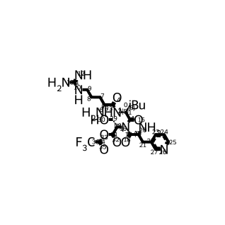 CC[C@H](C)[C@H](NC(=O)[C@H](N)CCCNC(=N)N)C(=O)N(C(=O)[C@@H](N)Cc1cccnc1)[C@@H](CO)C(=O)OC(=O)C(F)(F)F